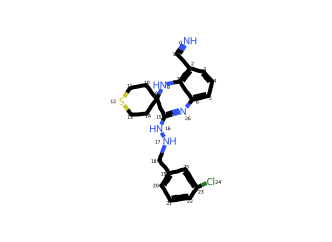 N=Cc1cccc2c1NC1(CCSCC1)C(NNCc1cccc(Cl)c1)=N2